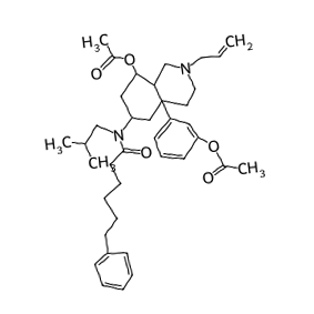 C=CCN1CCC2(c3cccc(OC(C)=O)c3)CC(N(CC(C)C)C(=O)CCCCCc3ccccc3)CC(OC(C)=O)C2C1